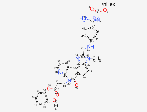 CCCCCCOC(=O)/N=C(\N)c1ccc(NCc2nc3cc(C(=O)N(CCC(=O)Oc4ccccc4OCC)c4ccccn4)ccc3n2C)cc1